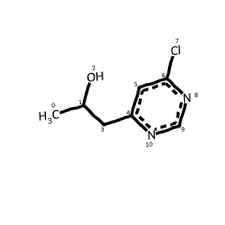 CC(O)Cc1cc(Cl)ncn1